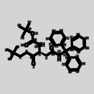 CC(C)(C)CCC(=O)[C@@H](CC(=O)NC(c1ccccc1)(c1ccccc1)c1ccccc1)NC(=O)OC(C)(C)C